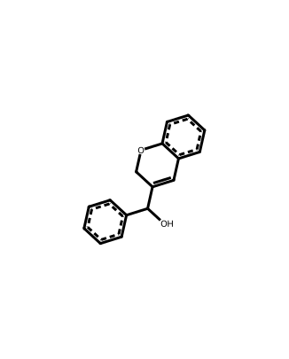 OC(C1=Cc2ccccc2OC1)c1ccccc1